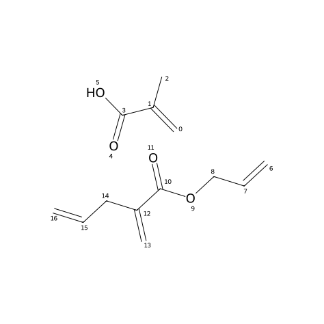 C=C(C)C(=O)O.C=CCOC(=O)C(=C)CC=C